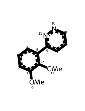 COc1cccc(-c2cc[c]nn2)c1OC